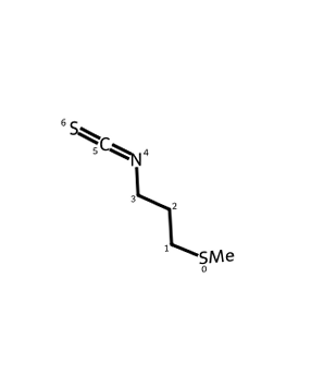 CSCCCN=C=S